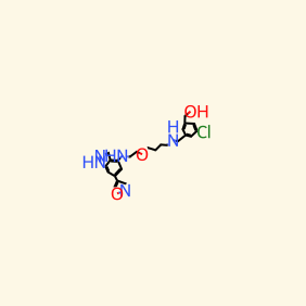 OCc1cc(Cl)cc(CNCCCCOCCNc2cc(-c3cnoc3)cc3[nH]ncc23)c1